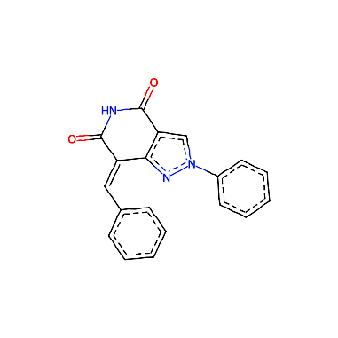 O=C1NC(=O)c2cn(-c3ccccc3)nc2/C1=C\c1ccccc1